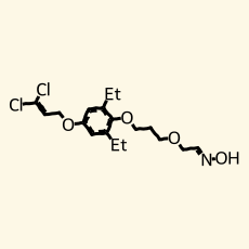 CCc1cc(OCC=C(Cl)Cl)cc(CC)c1OCCCOC/C=N/O